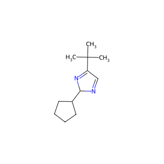 CC(C)(C)C1=NC(C2CCCC2)N=C1